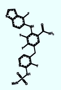 CNS(=O)(=O)Nc1nccc(Cc2cc(C(N)=O)c(Nc3ccc4sccc4c3F)c(F)c2F)c1F